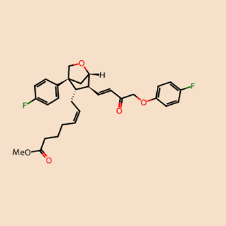 COC(=O)CCC/C=C\C[C@H]1[C@H](/C=C/C(=O)COc2ccc(F)cc2)[C@@H]2C[C@@]1(c1ccc(F)cc1)CO2